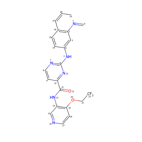 C=Nc1cc(Nc2nccc(C(=O)Nc3cnccc3OCC(F)(F)F)n2)ccc1/C=C\C